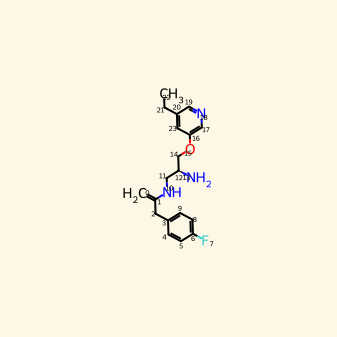 C=C(Cc1ccc(F)cc1)NC[C@H](N)COc1cncc(CC)c1